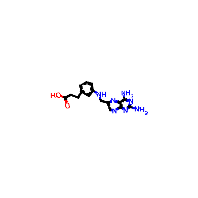 Nc1nc(N)c2nc(CNc3cccc(CCC(=O)O)c3)cnc2n1